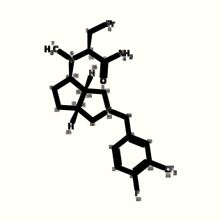 CC(C)C[C@@H](C(N)=O)N(C)[C@@H]1CC[C@H]2CN(Cc3ccc(F)c(C(F)(F)F)c3)C[C@H]21